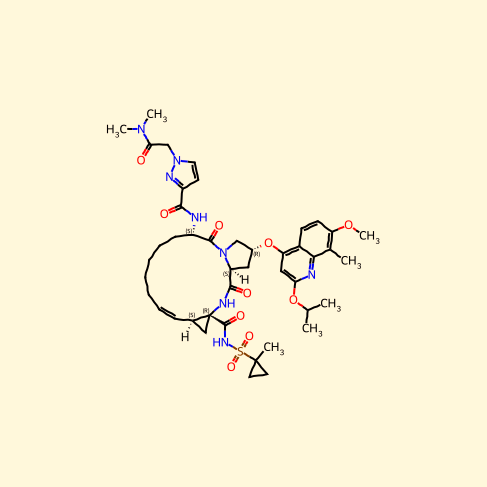 COc1ccc2c(O[C@@H]3C[C@H]4C(=O)N[C@]5(C(=O)NS(=O)(=O)C6(C)CC6)C[C@H]5C=CCCCCC[C@H](NC(=O)c5ccn(CC(=O)N(C)C)n5)C(=O)N4C3)cc(OC(C)C)nc2c1C